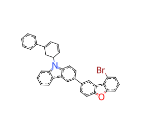 Brc1cccc2oc3ccc(-c4ccc5c(c4)c4ccccc4n5C4C=CC=C(c5ccccc5)C4)cc3c12